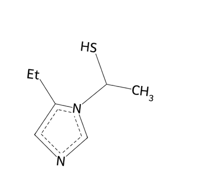 CCc1cncn1C(C)S